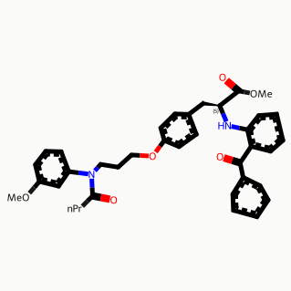 CCCC(=O)N(CCCOc1ccc(C[C@H](Nc2ccccc2C(=O)c2ccccc2)C(=O)OC)cc1)c1cccc(OC)c1